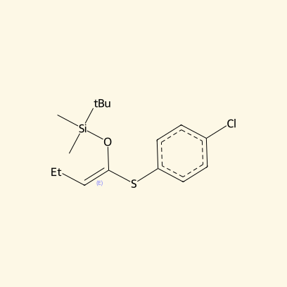 CC/C=C(\O[Si](C)(C)C(C)(C)C)Sc1ccc(Cl)cc1